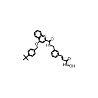 CC(C)(C)c1ccc(COc2cc(C(=O)NCc3cccc(/C=C/C(=O)NO)c3)nc3ccccc23)cc1